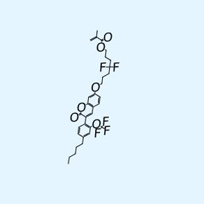 C=C(C)C(=O)OCCCC(F)(F)CCCOc1ccc2cc(-c3ccc(CCCCC)cc3OC(F)(F)F)c(=O)oc2c1